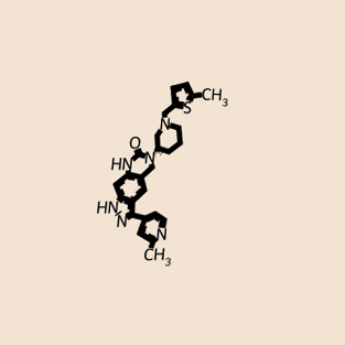 Cc1cc(-c2n[nH]c3cc4c(cc23)CN([C@@H]2CCCN(Cc3ccc(C)s3)C2)C(=O)N4)ccn1